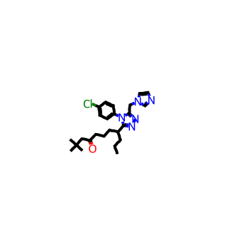 CCCC(CCCC(=O)CC(C)(C)C)c1nnc(Cn2ccnc2)n1-c1ccc(Cl)cc1